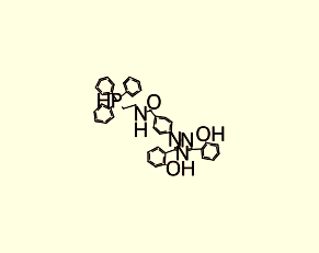 O=C(NCC[PH](c1ccccc1)(c1ccccc1)c1ccccc1)c1ccc(-n2nc(-c3ccccc3O)nc2-c2ccccc2O)cc1